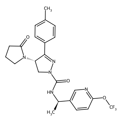 Cc1ccc(C2=NN(C(=O)N[C@H](C)c3ccc(OC(F)(F)F)nc3)C[C@@H]2N2CCCC2=O)cc1